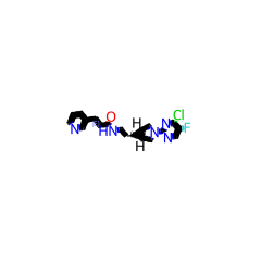 O=C(/C=C/c1cccnc1)NCC[C@@H]1[C@H]2CN(c3ncc(F)c(Cl)n3)C[C@@H]12